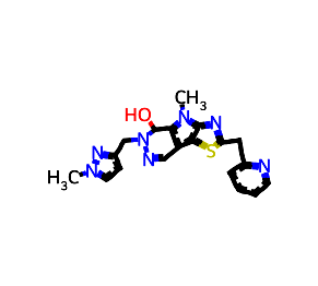 Cn1ccc(CN2N=Cc3c(n(C)c4nc(Cc5ccccn5)sc34)C2O)n1